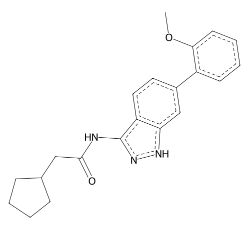 COc1ccccc1-c1ccc2c(NC(=O)CC3CCCC3)n[nH]c2c1